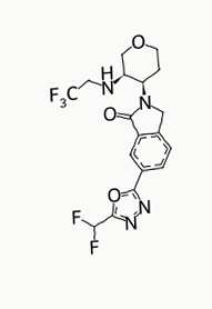 O=C1c2cc(-c3nnc(C(F)F)o3)ccc2CN1[C@@H]1CCOC[C@@H]1NCC(F)(F)F